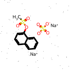 CS(=O)(=O)Oc1cccc2ccccc12.O=S(=O)([O-])[O-].[Na+].[Na+]